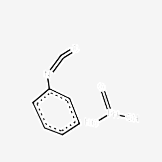 O=C=Nc1ccccc1.O=[PH](O)O